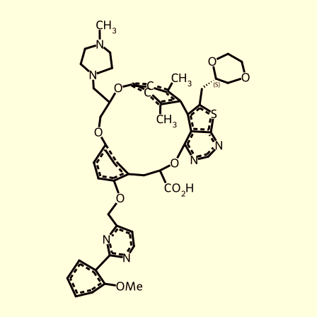 COc1ccccc1-c1nccc(COc2ccc3cc2CC(C(=O)O)Oc2ncnc4sc(C[C@H]5COCCO5)c(c24)-c2c(C)cc(cc2C)OC(CN2CCN(C)CC2)CO3)n1